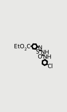 CCOC(=O)c1ccc2nc(NC(=O)Nc3cccc(Cl)c3)sc2c1